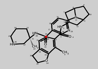 Cc1c(C(=O)NC2CC3CCC(C2)N3c2ccc(C(=O)N[C@]3(C)CCCNC3)cn2)ccc2c1OCC2